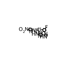 O=[N+]([O-])c1ccc(NCCNc2ncc(-c3ncc[nH]3)c(-c3ccc(F)cc3Cl)n2)nc1